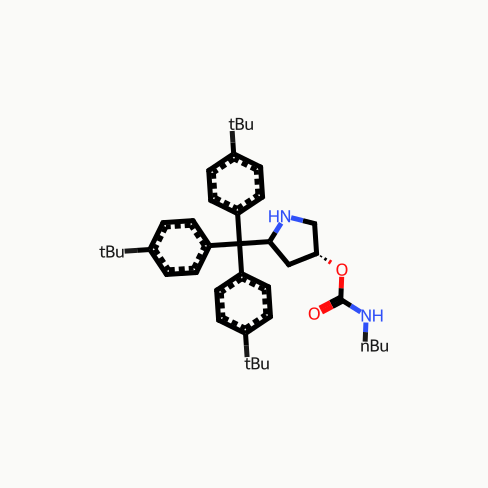 CCCCNC(=O)O[C@H]1CNC(C(c2ccc(C(C)(C)C)cc2)(c2ccc(C(C)(C)C)cc2)c2ccc(C(C)(C)C)cc2)C1